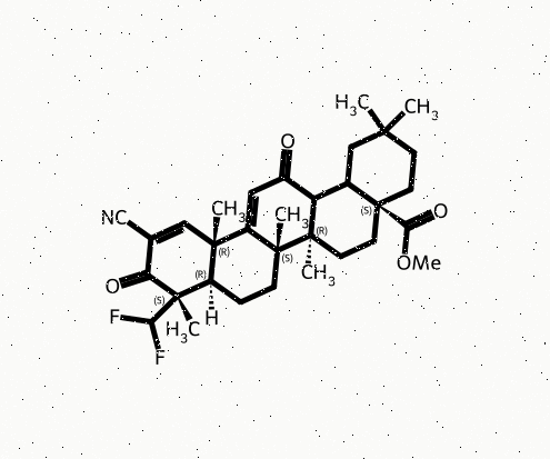 COC(=O)[C@]12CCC(C)(C)CC1C1C(=O)C=C3[C@@]4(C)C=C(C#N)C(=O)[C@@](C)(C(F)F)[C@@H]4CC[C@@]3(C)[C@]1(C)CC2